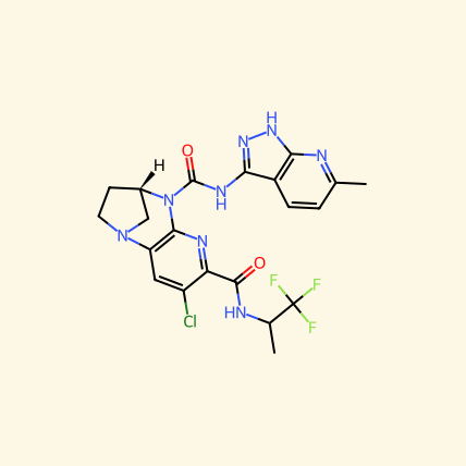 Cc1ccc2c(NC(=O)N3c4nc(C(=O)NC(C)C(F)(F)F)c(Cl)cc4N4CC[C@H]3C4)n[nH]c2n1